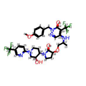 COc1ccc(Cn2ncc(NC(C)COC3CCN([C@@H]4CCN(c5ccc(C(F)(F)F)cn5)C[C@@H]4O)C3=O)c(C(F)(F)F)c2=O)cc1